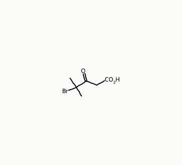 CC(C)(Br)C(=O)CC(=O)O